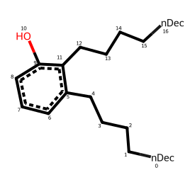 CCCCCCCCCCCCCCc1cccc(O)c1CCCCCCCCCCCCCC